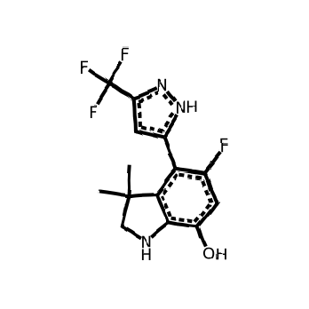 CC1(C)CNc2c(O)cc(F)c(-c3cc(C(F)(F)F)n[nH]3)c21